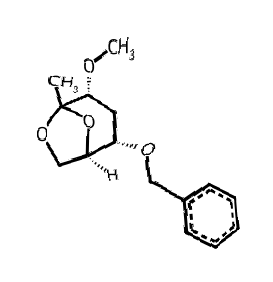 CO[C@@H]1C[C@H](OCc2ccccc2)[C@H]2COC1(C)O2